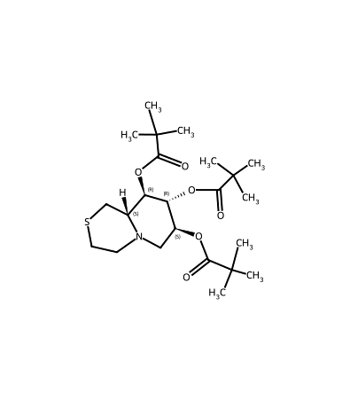 CC(C)(C)C(=O)O[C@H]1[C@H](OC(=O)C(C)(C)C)[C@H]2CSCCN2C[C@@H]1OC(=O)C(C)(C)C